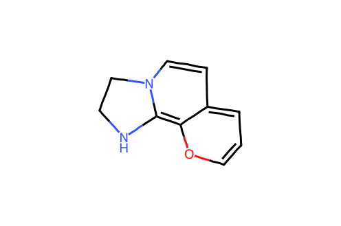 C1=COC2=C3NCCN3C=CC2=C1